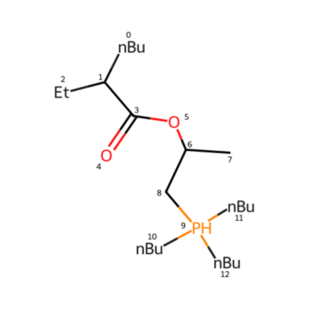 CCCCC(CC)C(=O)OC(C)C[PH](CCCC)(CCCC)CCCC